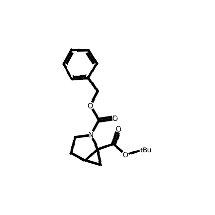 CC(C)(C)OC(=O)C12CC1CCN2C(=O)OCc1ccccc1